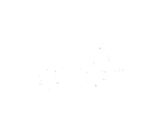 CC(C)(C)c1nc(=O)oc2c(OCCc3ccncc3)cccc12